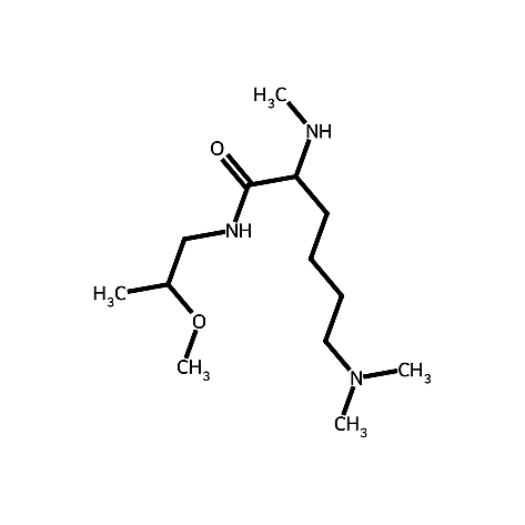 CNC(CCCCN(C)C)C(=O)NCC(C)OC